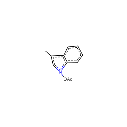 [CH2]c1cn(OC(C)=O)c2ccccc12